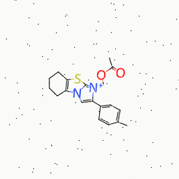 CC(=O)OC[n+]1c(-c2ccc(C)cc2)cn2c3c(sc21)CCCC3